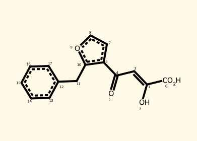 O=C(O)/C(O)=C/C(=O)c1ccoc1Cc1ccccc1